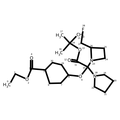 CCOC(=O)C1CCC(OC(C(=O)OC(C)(C)C)(N2CCCC2)N2CCC2CF)CC1